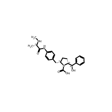 CN[C@@H](C)C(=O)Nc1ccc(C[C@@H]2CC[C@H]([C@H](O)c3ccccc3)N2C(=O)O)cc1